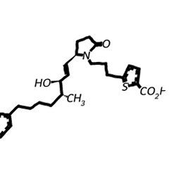 C[C@H](CCCCc1ccccc1)[C@@H](O)/C=C/[C@H]1CCC(=O)N1CCCc1ccc(C(=O)O)s1